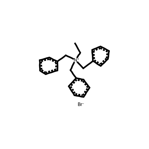 CC[N+](Cc1ccccc1)(Cc1ccccc1)Cc1ccccc1.[Br-]